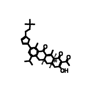 CC(=O)C1=C(O)C[C@@]2(C)C[C@@]3(C)Cc4c(C(C)C)cc(C5=CC=C(CCC(C)(C)C)C5)c(C)c4C(=O)C3=C(C)[C@@]2(C)C1=O